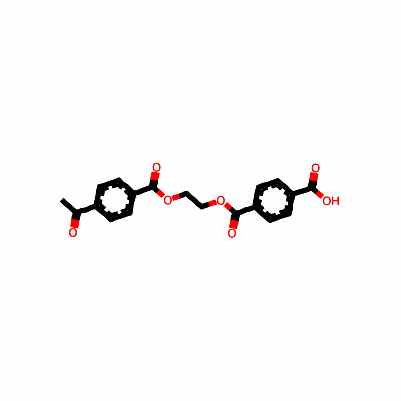 CC(=O)c1ccc(C(=O)OCCOC(=O)c2ccc(C(=O)O)cc2)cc1